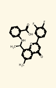 Cc1cc([C@@H](C)Nc2ccccc2C(=O)O)c2oc(-c3ccc(F)c(F)c3)cc(=O)c2c1